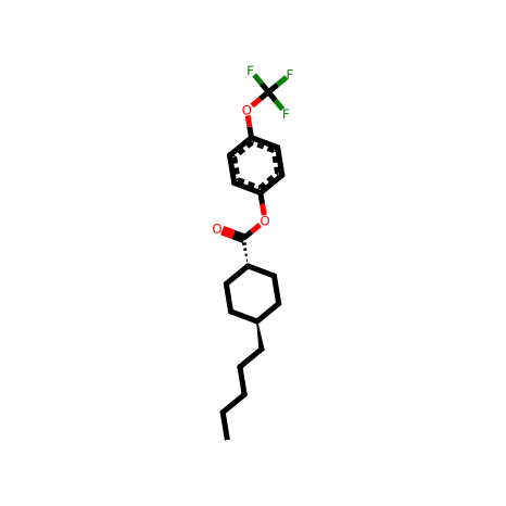 CCCCC[C@H]1CC[C@H](C(=O)Oc2ccc(OC(F)(F)F)cc2)CC1